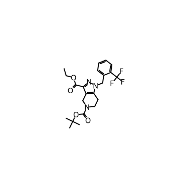 CCOC(=O)c1nn(Cc2ccccc2C(F)(F)F)c2c1CN(C(=O)OC(C)(C)C)CC2